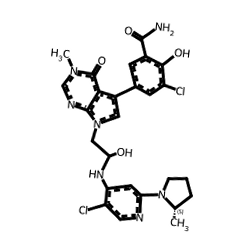 C[C@H]1CCCN1c1cc(NC(O)Cn2cc(-c3cc(Cl)c(O)c(C(N)=O)c3)c3c(=O)n(C)cnc32)c(Cl)cn1